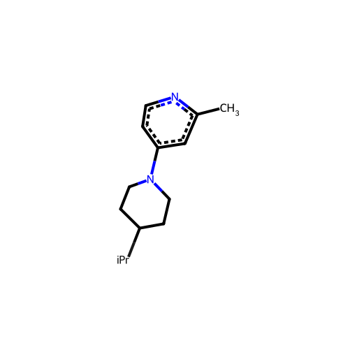 Cc1cc(N2CCC(C(C)C)CC2)ccn1